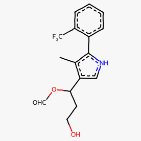 Cc1c(C(CCO)OC=O)c[nH]c1-c1ccccc1C(F)(F)F